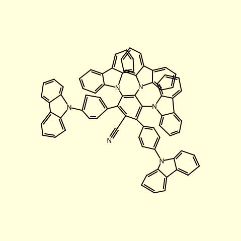 N#Cc1c(-c2ccc(-n3c4ccccc4c4ccccc43)cc2)c(-n2c3ccccc3c3ccccc32)c(-n2c3ccccc3c3ccccc32)c(-n2c3ccccc3c3ccccc32)c1-c1ccc(-n2c3ccccc3c3ccccc32)cc1